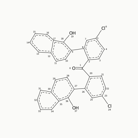 O=C(c1ccc(Cl)cc1-c1ccc2ccccc2c1O)c1ccc(Cl)cc1-c1ccc2ccccc2c1O